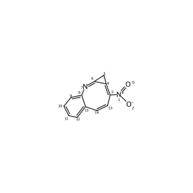 O=[N+]([O-])C1=C2\C\C2=N\c2ccccc2/C=C\1